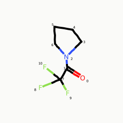 O=C(N1CCCC1)C(F)(F)F